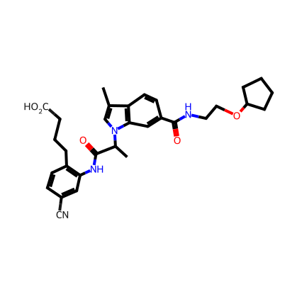 Cc1cn(C(C)C(=O)Nc2cc(C#N)ccc2CCCC(=O)O)c2cc(C(=O)NCCOC3CCCC3)ccc12